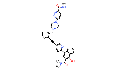 CCCNC(=O)c1ccc(N2CCN(Cc3ccccc3C#Cc3ccc(-c4cc(C(=O)N(C)C)c(O)c5ccccc45)nc3)CC2)nn1